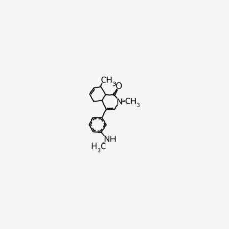 CNc1cccc(C2=CN(C)C(=O)C3C(C)C=CCC23)c1